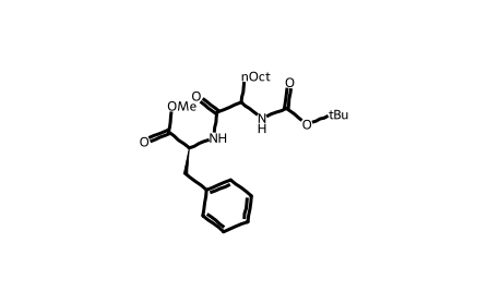 CCCCCCCCC(NC(=O)OC(C)(C)C)C(=O)N[C@@H](Cc1ccccc1)C(=O)OC